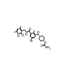 Cc1cc(C)c(CNC(=O)c2cc(Br)cc(N[C@H]3CC[C@H](OC(N)=O)CC3)c2C)c(=O)[nH]1